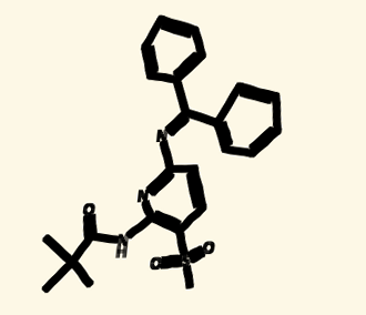 CC(C)(C)C(=O)Nc1nc(N=C(c2ccccc2)c2ccccc2)ccc1S(C)(=O)=O